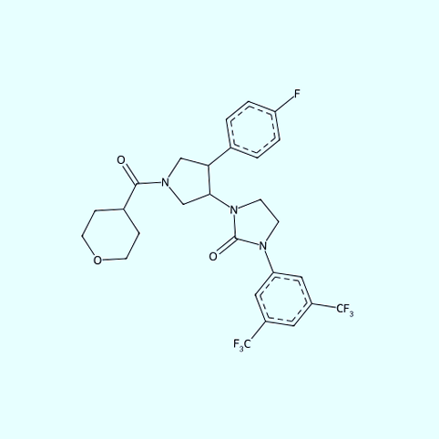 O=C(C1CCOCC1)N1CC(c2ccc(F)cc2)C(N2CCN(c3cc(C(F)(F)F)cc(C(F)(F)F)c3)C2=O)C1